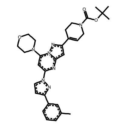 Cc1cccc(-c2ccn(-c3cc(N4CCOCC4)n4nc(C5=CCN(C(=O)OC(C)(C)C)CC5)cc4n3)n2)c1